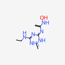 C=C(/N=C(\N=C(/N)NCC)NCC)NO